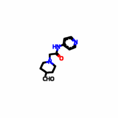 O=CC1CCN(CC(=O)Nc2ccncc2)CC1